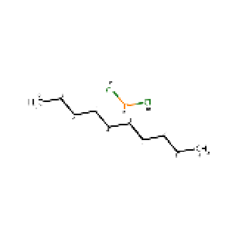 CCCCCCCCCC.Cl[P]Cl